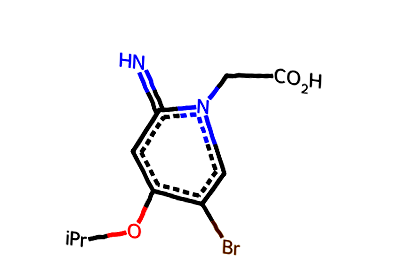 CC(C)Oc1cc(=N)n(CC(=O)O)cc1Br